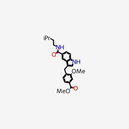 COC(=O)c1ccc(Cc2c[nH]c3ccc(C(=O)NCCC(C)C)cc23)c(OC)c1